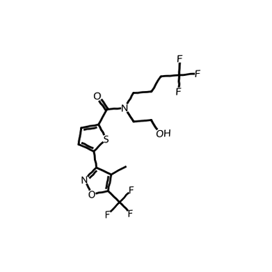 Cc1c(-c2ccc(C(=O)N(CCO)CCCC(F)(F)F)s2)noc1C(F)(F)F